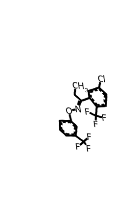 CC/C(=N\Oc1cccc(C(F)(F)F)c1)c1cc(Cl)ccc1C(F)(F)F